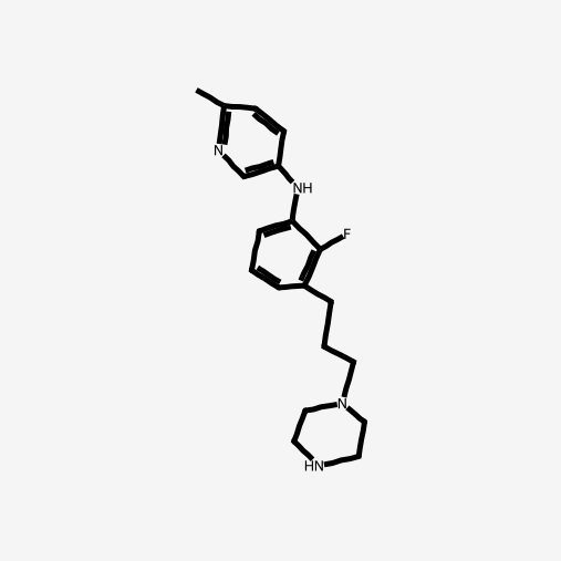 Cc1ccc(Nc2cccc(CCCN3CCNCC3)c2F)cn1